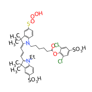 CC[N+]1=C(/C=C/C=C2\N(CCCCCC(=O)Oc3c(Cl)cc(S(=O)(=O)O)cc3Cl)c3ccc(SOOO)cc3C2(C)C)C(C)(C)c2cc(S(=O)(=O)O)ccc21